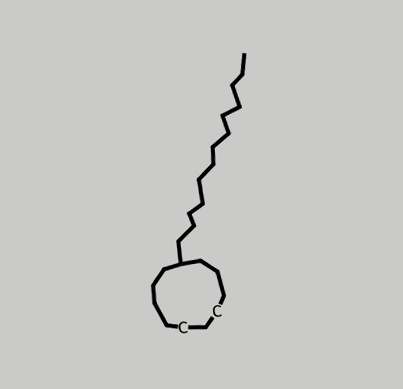 CCCCCCCCCCCCCC1CCCCCCCCCC1